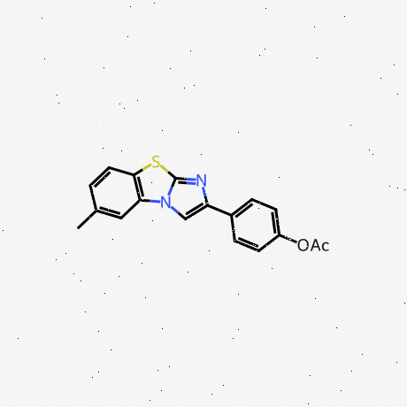 CC(=O)Oc1ccc(-c2cn3c(n2)sc2ccc(C)cc23)cc1